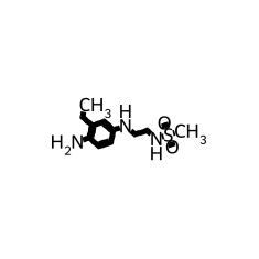 CCc1cc(NCCNS(C)(=O)=O)ccc1N